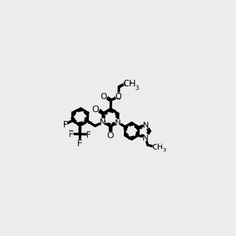 CCOC(=O)c1cn(-c2ccc3c(c2)ncn3CC)c(=O)n(Cc2cccc(F)c2C(F)(F)F)c1=O